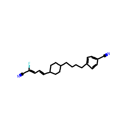 N#CC(F)=CC=CC1CCC(CCCCc2ccc(C#N)cc2)CC1